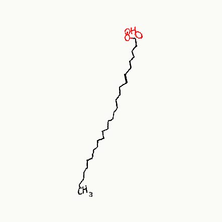 CCCCCCCCCCCCCCCCCCCCCCCCCCCC(=O)OO